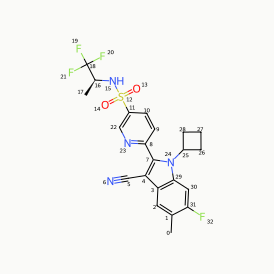 Cc1cc2c(C#N)c(-c3ccc(S(=O)(=O)N[C@@H](C)C(F)(F)F)cn3)n(C3CCC3)c2cc1F